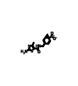 Cc1nc(N)sc1C(=O)NCC1=CC2=CC2([N+](=O)[O-])C=C1